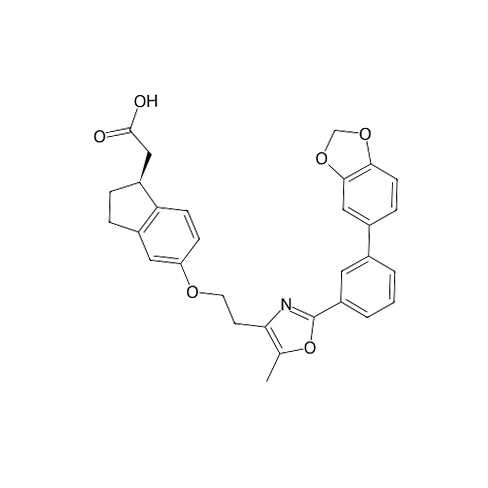 Cc1oc(-c2cccc(-c3ccc4c(c3)OCO4)c2)nc1CCOc1ccc2c(c1)CC[C@H]2CC(=O)O